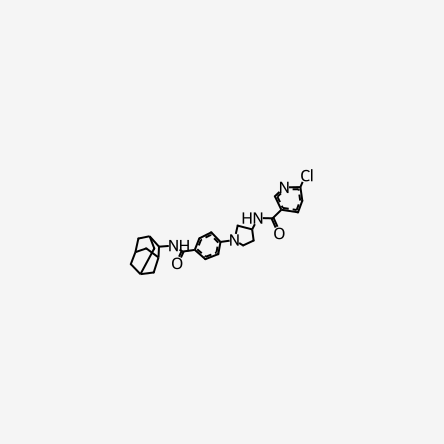 O=C(NC1CCN(c2ccc(C(=O)NC3C4CC5CC(C4)CC3C5)cc2)C1)c1ccc(Cl)nc1